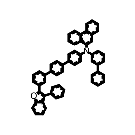 c1ccc(-c2cccc(N(c3ccc(-c4ccc(-c5cccc(-c6oc7ccccc7c6-c6ccccc6)c5)cc4)cc3)c3cc4ccccc4c4ccccc34)c2)cc1